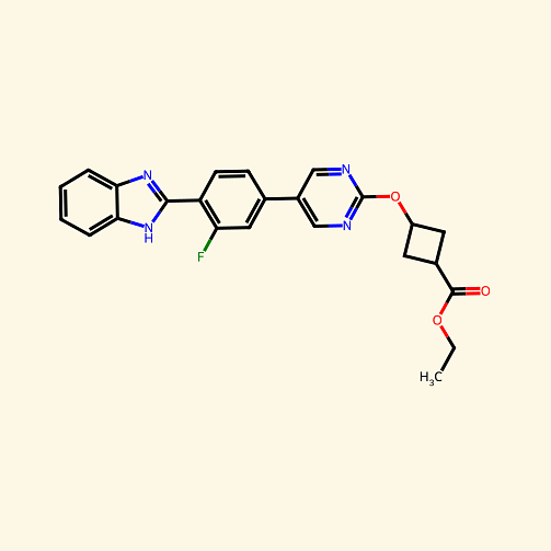 CCOC(=O)C1CC(Oc2ncc(-c3ccc(-c4nc5ccccc5[nH]4)c(F)c3)cn2)C1